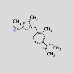 C=C/C(=C\C)C1=CC(C)=C(CN2CC(/C=C\C)=CC2=C)CC=C1